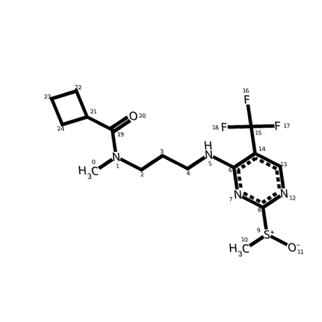 CN(CCCNc1nc([S+](C)[O-])ncc1C(F)(F)F)C(=O)C1CCC1